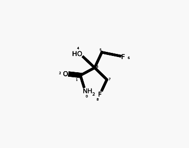 NC(=O)C(O)(CF)CF